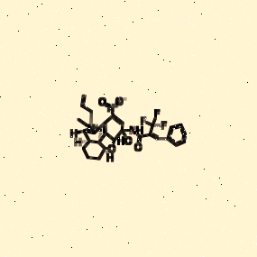 C=CC[N+]1(C)CC[C@@]23C4=C5C[C@@H]1[C@@H]2CCC[C@@H]3OC4C(O)(NC(=O)C(=Cc1ccccc1)C(F)(F)F)C=C5[N+](=O)[O-]